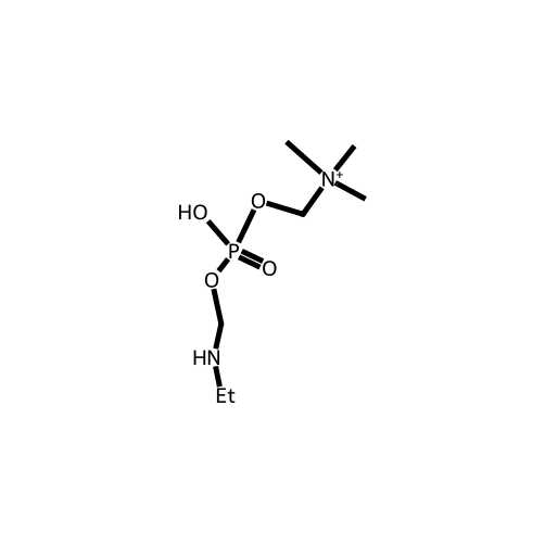 CCNCOP(=O)(O)OC[N+](C)(C)C